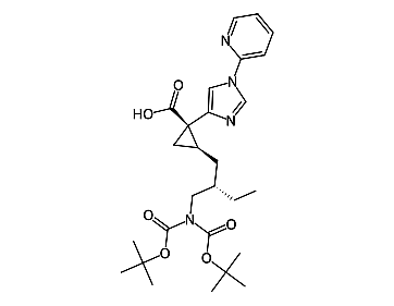 CC[C@@H](C[C@H]1C[C@]1(C(=O)O)c1cn(-c2ccccn2)cn1)CN(C(=O)OC(C)(C)C)C(=O)OC(C)(C)C